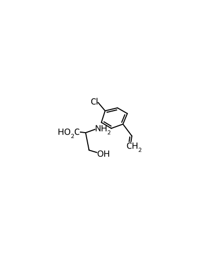 C=Cc1ccc(Cl)cc1.NC(CO)C(=O)O